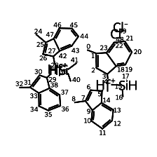 CC1=C[CH]([Hf+]([CH]2C=C(C)c3ccccc32)[SiH](C)C)c2ccccc21.CC1=C[CH]([Hf+]([CH]2C=C(C)c3ccccc32)[SiH](C)C)c2ccccc21.[Cl-].[Cl-]